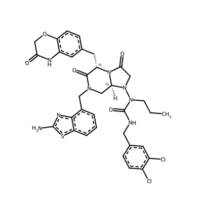 CCCN(C(=O)NCc1ccc(Cl)c(Cl)c1)N1CC(=O)N2[C@@H](Cc3ccc4c(c3)NC(=O)CO4)C(=O)N(Cc3cccc4sc(N)nc34)C[C@@H]21